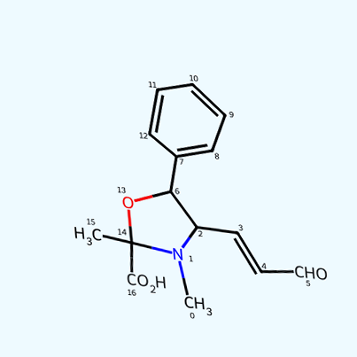 CN1C(C=CC=O)C(c2ccccc2)OC1(C)C(=O)O